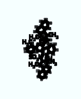 CC1c2c(ccc3ccccc23)[N+](C)(C)C1C=CC1=C(C2=CC=CCC2=S)C(=C2CC23C(C)c2c(ccc4ccccc24)[N+]3(C)C)CCC1.Cc1ccc(S(=O)(=O)O)cc1